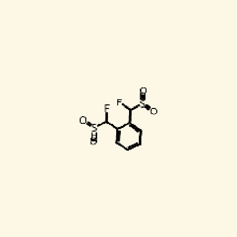 O=[SH](=O)C(F)c1ccccc1C(F)[SH](=O)=O